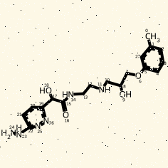 Cc1cccc(OCC(O)CNCCNC(=O)C(O)c2ccc(NN)nn2)c1